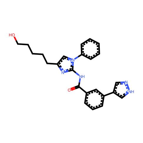 O=C(Nc1nc(CCCCCO)cn1-c1ccccc1)c1cccc(-c2cn[nH]c2)c1